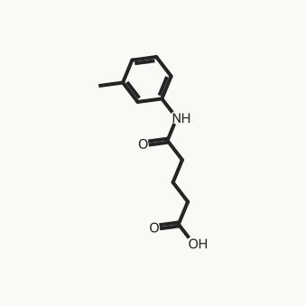 Cc1cccc(NC(=O)CCCC(=O)O)c1